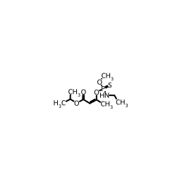 CCNP(=S)(OC)O/C(C)=C\C(=O)OC(C)C